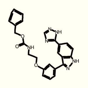 O=C(NCCOc1cccc(-c2n[nH]c3ccc(-c4ncn[nH]4)cc23)c1)OCc1ccccc1